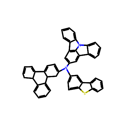 C1=CCC2C(=C1)C1=CC=C(N(c3ccc4sc5ccccc5c4c3)c3cc4c5ccccc5n5c6ccccc6c(c3)c45)CC1c1ccccc12